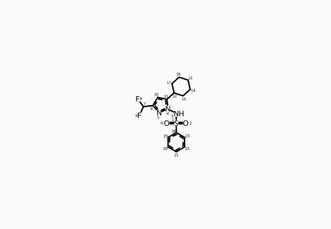 O=S(=O)(Nn1nc(C(F)F)cc1C1CCCCC1)c1ccccc1